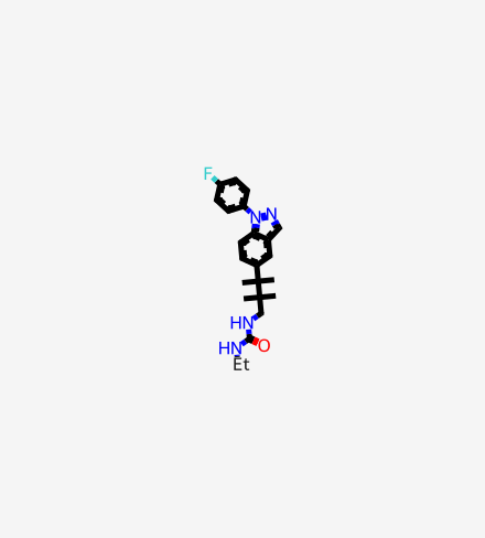 CCNC(=O)NCC(C)(C)C(C)(C)c1ccc2c(cnn2-c2ccc(F)cc2)c1